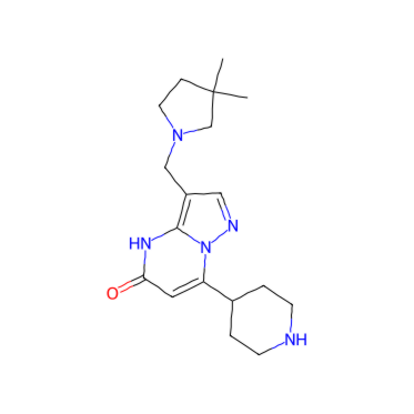 CC1(C)CCN(Cc2cnn3c(C4CCNCC4)cc(=O)[nH]c23)C1